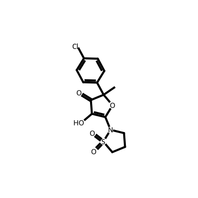 CC1(c2ccc(Cl)cc2)OC(N2CCCS2(=O)=O)=C(O)C1=O